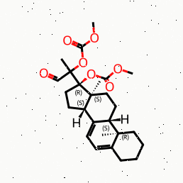 COC(=O)OC(C)(C=O)[C@@]1(OC(=O)OC)CC[C@H]2C3=CC=C4CCCC[C@]4(C)[C@H]3CC[C@@]21C